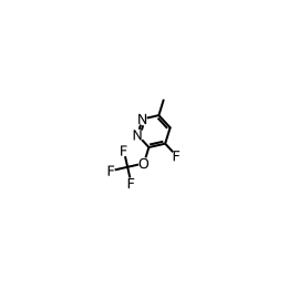 Cc1cc(F)c(OC(F)(F)F)nn1